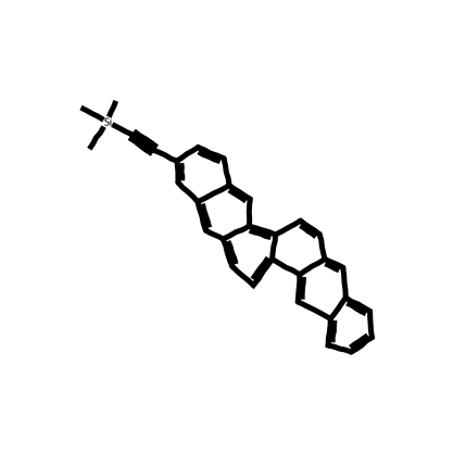 C[Si](C)(C)C#Cc1ccc2cc3c(ccc4c5cc6ccccc6cc5ccc34)cc2c1